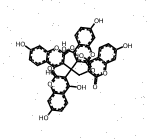 O=c1oc2cc(O)ccc2c(O)c1CC(c1c(O)c2ccc(O)cc2oc1=O)(c1c(O)c2ccc(O)cc2oc1=O)c1c(O)c2ccc(O)cc2oc1=O